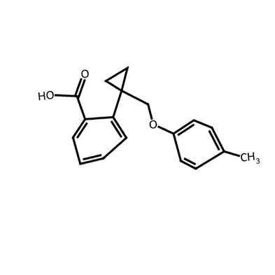 Cc1ccc(OCC2(c3ccccc3C(=O)O)CC2)cc1